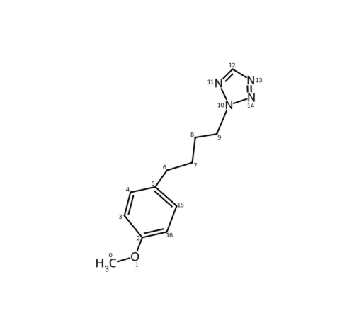 COc1ccc(CCCCn2ncnn2)cc1